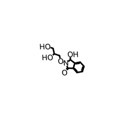 O=C1c2ccccc2C(O)N1OCC(O)CO